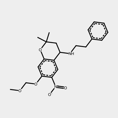 COCOc1cc2c(cc1[N+](=O)[O-])C(NCCc1ccccc1)CC(C)(C)O2